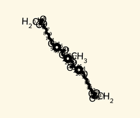 C=CS(=O)(=O)OCCCCCCOc1ccc(C(=O)Oc2ccc(OC(=O)c3ccc(OCCCCCCOS(=O)(=O)C=C)cc3)c(C)c2)cc1